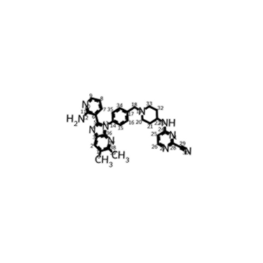 Cc1cc2nc(-c3cccnc3N)n(-c3ccc(CN4CCC(Nc5ccnc(C#N)n5)CC4)cc3)c2nc1C